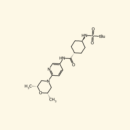 C[C@@H]1CN(c2ccc(NC(=O)[C@H]3CC[C@H](NS(=O)(=O)C(C)(C)C)CC3)cn2)C[C@H](C)O1